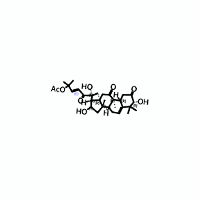 CC(=O)OC(C)(C)/C=C/C(=O)[C@@]1(O)C[C@]23CC(=O)[C@@]4(C)[C@@H]5CC(=O)[C@H](O)C(C)(C)C5=CC[C@H]4[C@]2(C)C[C@@H](O)[C@@H]31